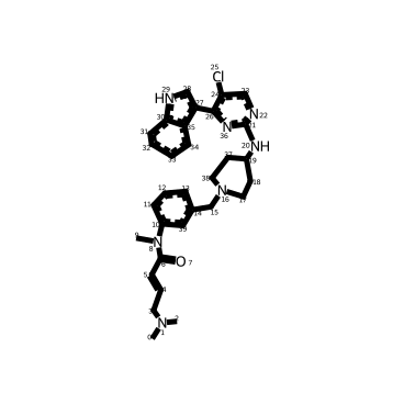 CN(C)CC=CC(=O)N(C)c1cccc(CN2CCC(Nc3ncc(Cl)c(-c4c[nH]c5ccccc45)n3)CC2)c1